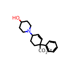 CCOC(=O)C1(c2ccccc2)C=CC(N2CCC(O)CC2)CC1